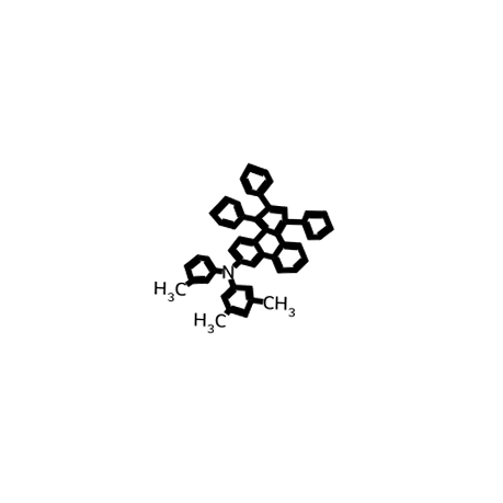 Cc1cccc(N(c2cc(C)cc(C)c2)c2ccc3c(c2)c2ccccc2c2c(-c4ccccc4)cc(-c4ccccc4)c(-c4ccccc4)c32)c1